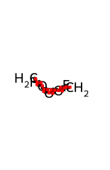 C=CC(F)c1ccc(OC=C2C=CC(OC3=CCC(=COc4ccc(C(F)C=C)cc4)C=C3)=CC2)cc1